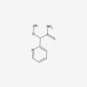 CCCOC(C(N)=S)c1ccccn1